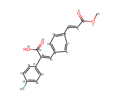 COC(=O)/C=C/c1ccc(C=C(C(=O)O)c2ccc(F)cc2)cc1